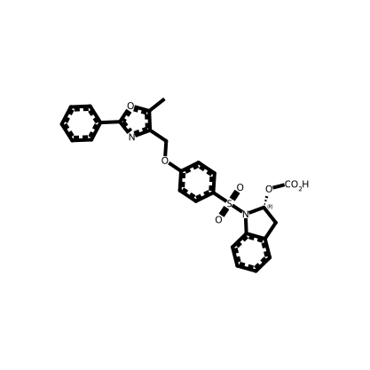 Cc1oc(-c2ccccc2)nc1COc1ccc(S(=O)(=O)N2c3ccccc3C[C@H]2OC(=O)O)cc1